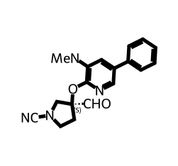 CNc1cc(-c2ccccc2)cnc1O[C@@]1(C=O)CCN(C#N)C1